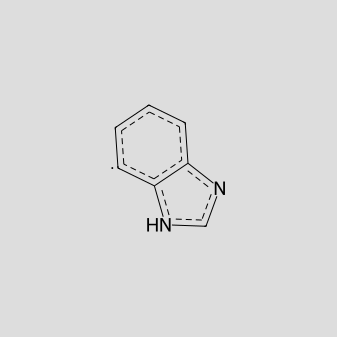 [c]1cccc2nc[nH]c12